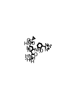 [2H]C([2H])([2H])NC(=O)c1nnc(NS(=O)(=O)C2CC2)cc1Nc1cccc(-c2ncn(C)n2)c1OC